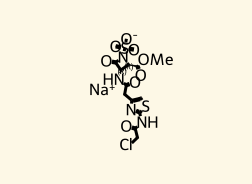 COC(=O)[C@H]1[C@@H](NC(=O)Cc2csc(NC(=O)CCl)n2)C(=O)N1S(=O)(=O)[O-].[Na+]